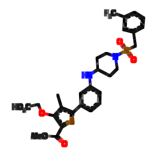 COC(=O)c1sc(-c2cccc(NC3CCN(S(=O)(=O)Cc4cccc(C(F)(F)F)c4)CC3)c2)c(C)c1OCC(=O)O